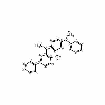 CC(c1ccccc1)c1ccc(C(C)c2cc(-c3ccccc3)ccc2O)cc1